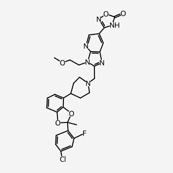 COCCn1c(CN2CCC(c3cccc4c3OC(C)(c3ccc(Cl)cc3F)O4)CC2)nc2cc(-c3noc(=O)[nH]3)cnc21